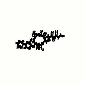 CCCNC(=O)Nc1ccc2c(c1)C(=O)N(C)C[C@H](OC)[C@@H](C)CN(Cc1ccc(-c3ccccn3)cc1)[C@@H](N)CO2